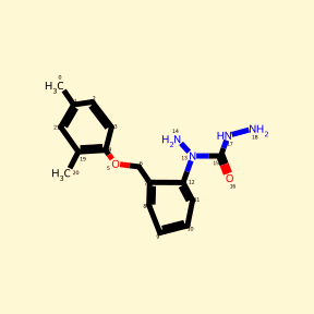 Cc1ccc(OCc2ccccc2N(N)C(=O)NN)c(C)c1